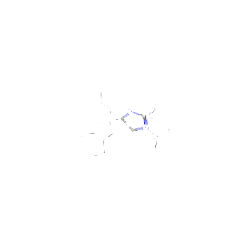 CCC[CH2][Sn]([CH2]CCC)([CH2]CCC)[c]1cn(C(C)C)c(C)n1